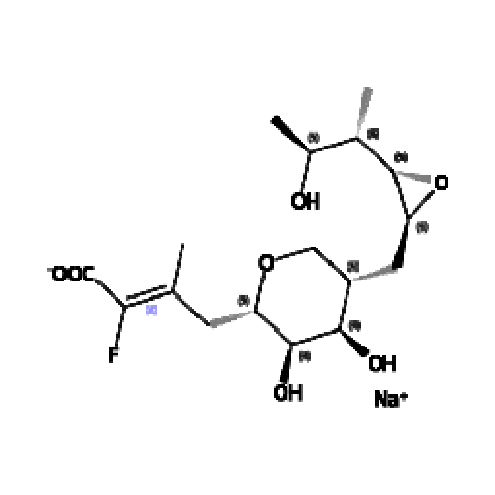 C/C(C[C@@H]1OC[C@H](C[C@@H]2O[C@H]2[C@@H](C)[C@H](C)O)[C@@H](O)[C@H]1O)=C(/F)C(=O)[O-].[Na+]